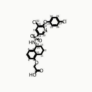 O=C(O)COc1cccc2c1CCC[C@H]2NS(=O)(=O)c1cnc(Oc2ccc(Cl)cc2)c(Cl)c1